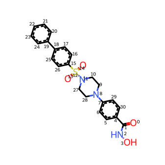 O=C(NO)c1ccc(N2CCN(S(=O)(=O)c3ccc(-c4ccccc4)cc3)CC2)cc1